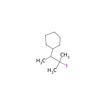 CC(C1CCCCC1)C(C)(C)I